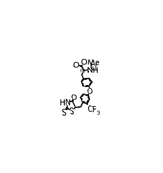 COC(=O)[C@H](Cc1ccc(Oc2ccc(CC3SC(=S)NC3=O)c(C(F)(F)F)c2)cc1)NCl